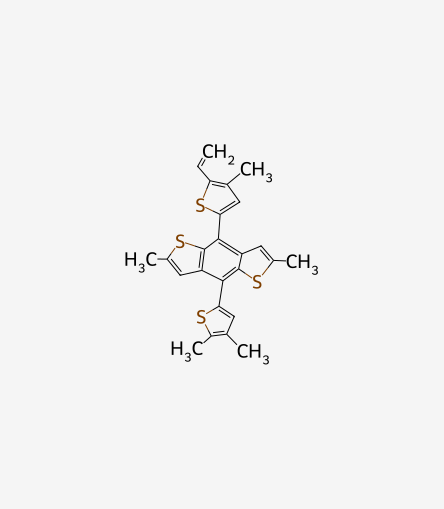 C=Cc1sc(-c2c3cc(C)sc3c(-c3cc(C)c(C)s3)c3cc(C)sc23)cc1C